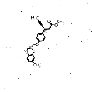 CC#C[C@@H](CC(=O)OC)c1ccc(OC[C@H]2COc3ccc(C)cc3O2)cc1